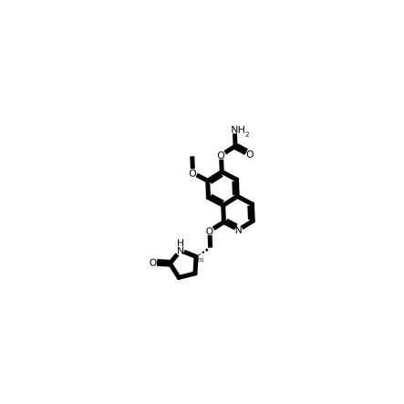 COc1cc2c(OC[C@@H]3CCC(=O)N3)nccc2cc1OC(N)=O